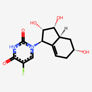 O=c1[nH]c(=O)n([C@@H]2C3=CC[C@@H](O)C[C@@H]3[C@@H](O)[C@H]2O)cc1F